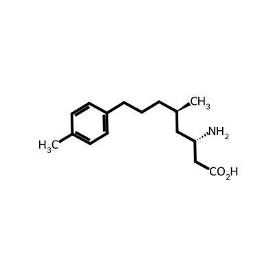 Cc1ccc(CCC[C@@H](C)C[C@H](N)CC(=O)O)cc1